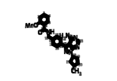 COc1ccccc1C(=O)NCc1ccc(-c2nn([C@H]3C=C[C@H](C)C3)c3ncnc(N)c23)cc1